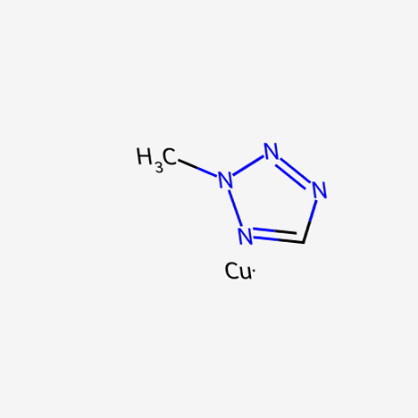 Cn1ncnn1.[Cu]